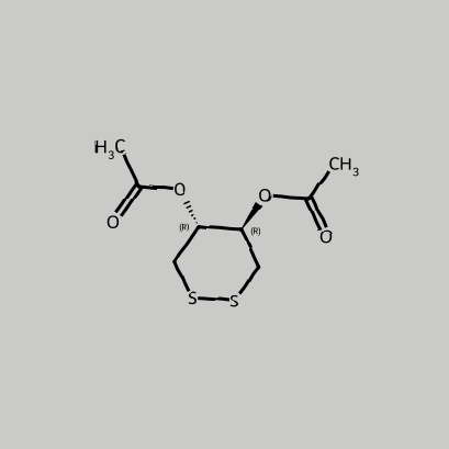 CC(=O)O[C@H]1CSSC[C@@H]1OC(C)=O